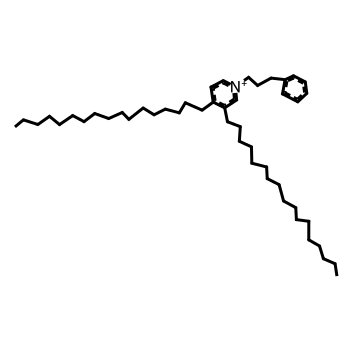 CCCCCCCCCCCCCCCCCc1cc[n+](CCCc2ccccc2)cc1CCCCCCCCCCCCCCCCC